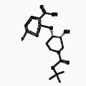 CC(C)(C)OC(=O)N1CC[C@H](Oc2cc(F)ccc2C(=O)O)[C@H](O)C1